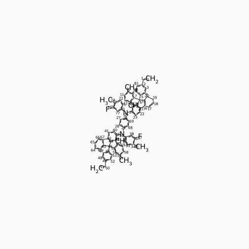 C=Cc1ccc(C2(c3cc(C)ccc3C)C3=C(C=CCC3)c3ccc(N(c4ccc(N(c5ccc(C)c(F)c5)c5ccc6c(c5)C(c5ccc(C=C)cc5)(c5cc(C)ccc5C)c5ccccc5-6)cc4)c4ccc(C)c(F)c4)cc32)cc1